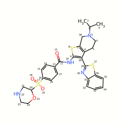 CC(C)N1CCc2c(sc(NC(=O)c3ccc(S(=O)(=O)C4CNCCO4)cc3)c2-c2nc3ccccc3s2)C1